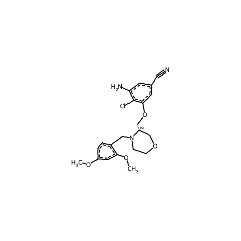 COc1ccc(CN2CCOC[C@H]2COc2cc(C#N)cc(N)c2Cl)c(OC)c1